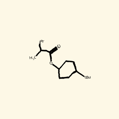 CC(C)C(C)C(=O)OC1CCC(C(C)(C)C)CC1